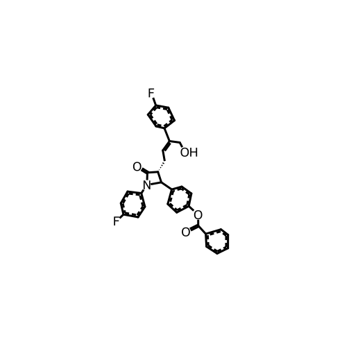 O=C(Oc1ccc(C2[C@@H](C/C=C(\CO)c3ccc(F)cc3)C(=O)N2c2ccc(F)cc2)cc1)c1ccccc1